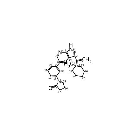 C=C(c1c[nH]c2ncc(-c3cccc(N4CCCC4=O)c3)nc12)C1(C)CCCCC1